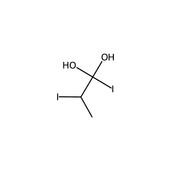 CC(I)C(O)(O)I